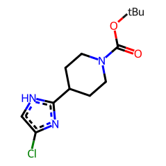 CC(C)(C)OC(=O)N1CCC(c2nc(Cl)c[nH]2)CC1